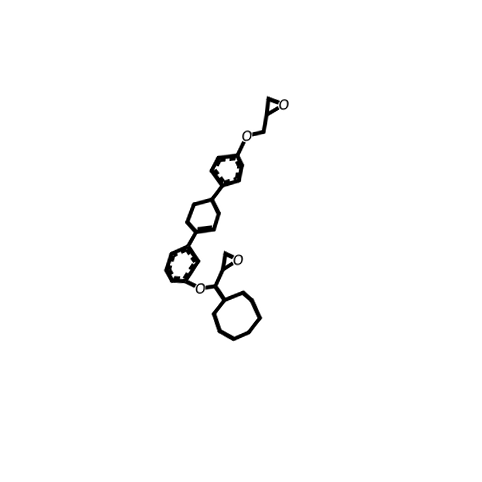 C1=C(c2cccc(OC(C3CCCCCCC3)C3CO3)c2)CCC(c2ccc(OCC3CO3)cc2)C1